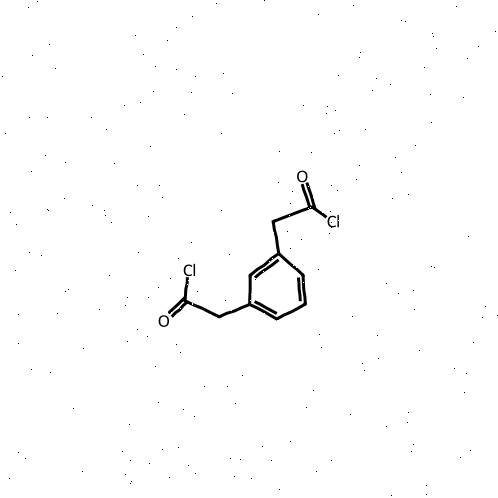 O=C(Cl)Cc1cccc(CC(=O)Cl)c1